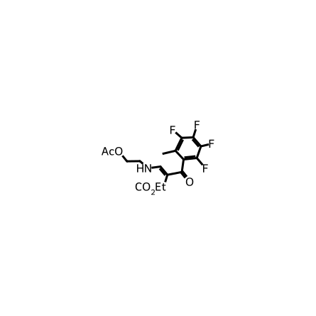 CCOC(=O)C(=CNCCOC(C)=O)C(=O)c1c(C)c(F)c(F)c(F)c1F